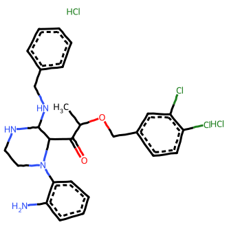 CC(OCc1ccc(Cl)c(Cl)c1)C(=O)C1C(NCc2ccccc2)NCCN1c1ccccc1N.Cl.Cl